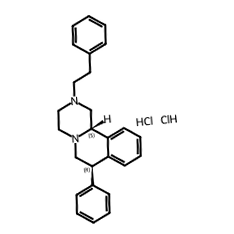 Cl.Cl.c1ccc(CCN2CCN3C[C@H](c4ccccc4)c4ccccc4[C@H]3C2)cc1